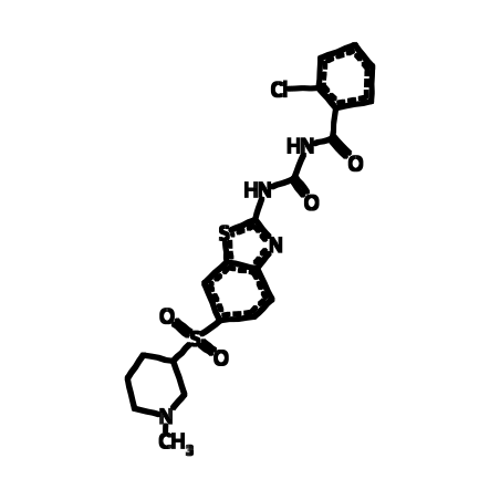 CN1CCCC(S(=O)(=O)c2ccc3nc(NC(=O)NC(=O)c4ccccc4Cl)sc3c2)C1